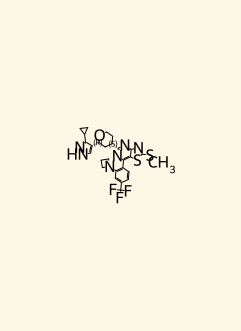 CSc1nc2nc([C@H]3CCO[C@@H](c4c[nH]nc4C4CC4)C3)nc(-c3ccc(C(F)(F)F)cc3N3CCC3)c2s1